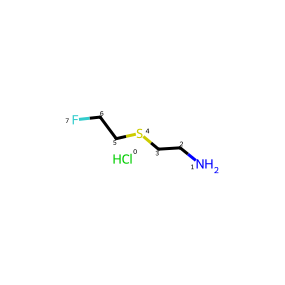 Cl.NCCSCCF